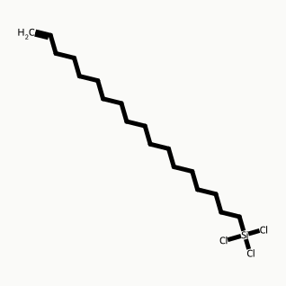 C=CCCCCCCCCCCCCCCCC[Si](Cl)(Cl)Cl